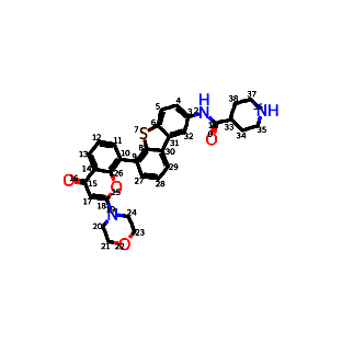 O=C(Nc1ccc2sc3c(-c4cccc5c(=O)cc(N6CCOCC6)oc45)cccc3c2c1)C1CCNCC1